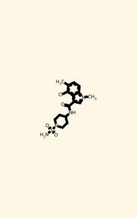 Cc1ccc2c(c(C(=O)NC3CCN(S(N)(=O)=O)CC3)cn2C)c1Cl